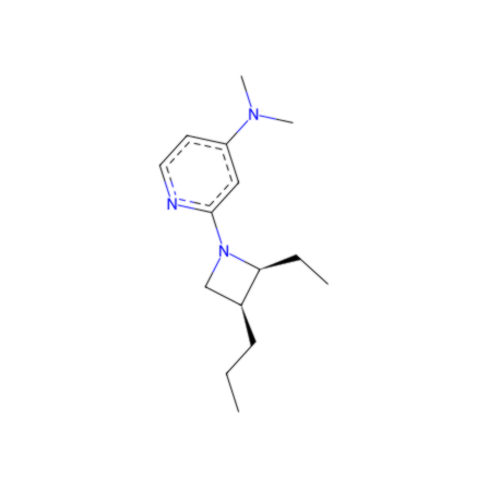 CCC[C@H]1CN(c2cc(N(C)C)ccn2)[C@H]1CC